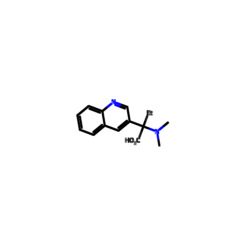 CCC(C(=O)O)(c1cnc2ccccc2c1)N(C)C